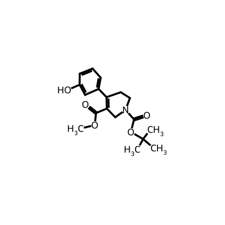 COC(=O)C1=C(c2cccc(O)c2)CCN(C(=O)OC(C)(C)C)C1